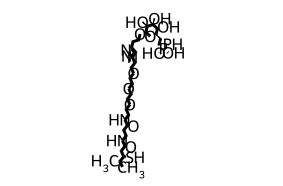 CC(C)C(S)CC(=O)NCCC(=O)NCCOCCOCCOCCn1cc(CCO[C@H]2O[C@H](CCP(O)(O)=P)[C@@H](O)[C@H](O)[C@@H]2O)nn1